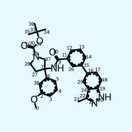 COc1cccc(C2(NC(=O)c3cccc(-c4ccc5[nH]nc(C)c5c4)c3)CCN(C(=O)OC(C)(C)C)C2)c1